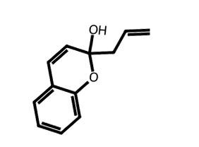 C=CCC1(O)C=Cc2ccccc2O1